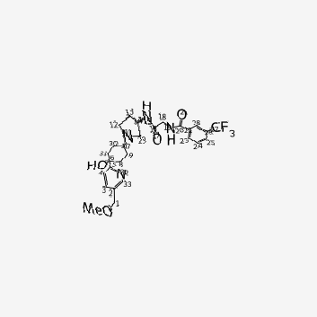 COCc1ccc([C@]2(O)CC[C@H](N3CC[C@@H](NC(=O)CNC(=O)c4cccc(C(F)(F)F)c4)C3)CC2)nc1